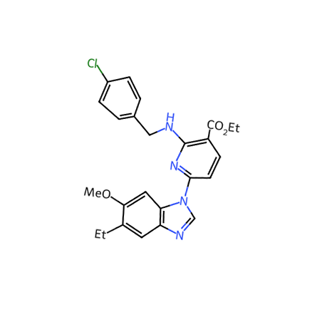 CCOC(=O)c1ccc(-n2cnc3cc(CC)c(OC)cc32)nc1NCc1ccc(Cl)cc1